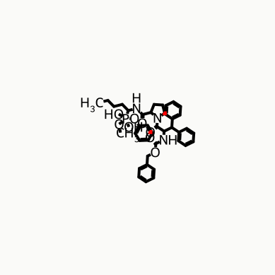 CCCCC(NC(=O)C1CCCN1C(=O)C(NC(=O)OCc1ccccc1)C(c1ccccc1)c1ccccc1)P(O)(O)(OC)Oc1ccccc1